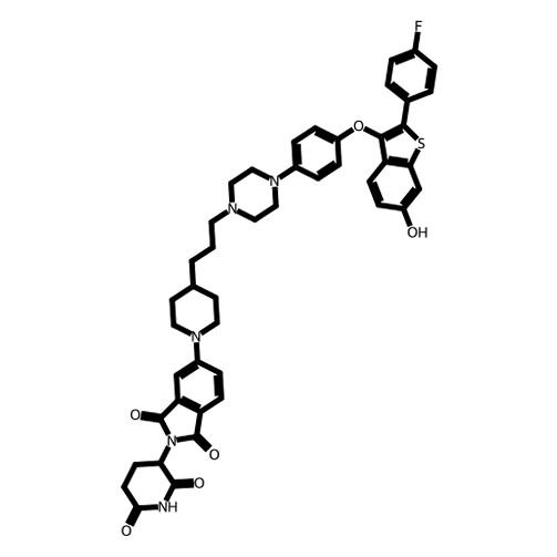 O=C1CCC(N2C(=O)c3ccc(N4CCC(CCCN5CCN(c6ccc(Oc7c(-c8ccc(F)cc8)sc8cc(O)ccc78)cc6)CC5)CC4)cc3C2=O)C(=O)N1